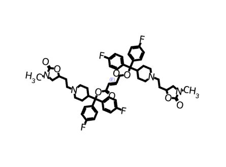 CN1CC(CCN2CCC(C(OC(=O)/C=C/C(=O)OC(c3ccc(F)cc3)(c3ccc(F)cc3)C3CCN(CCC4CN(C)C(=O)O4)CC3)(c3ccc(F)cc3)c3ccc(F)cc3)CC2)OC1=O